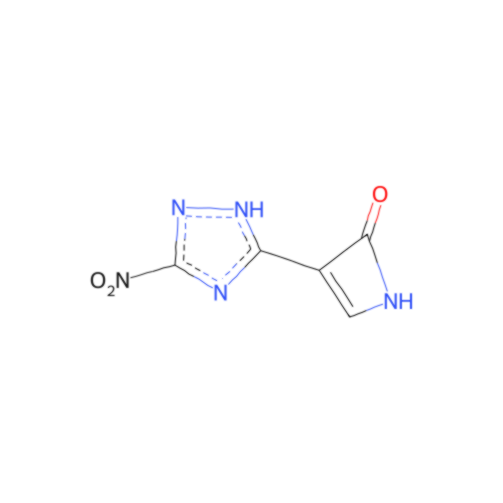 O=C1NC=C1c1nc([N+](=O)[O-])n[nH]1